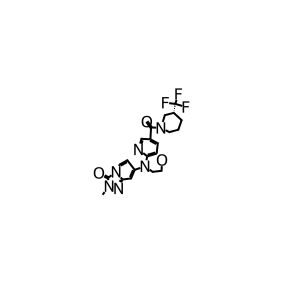 Cn1nc2cc(N3CCOc4cc(C(=O)N5CCC[C@@H](C(F)(F)F)C5)cnc43)ccn2c1=O